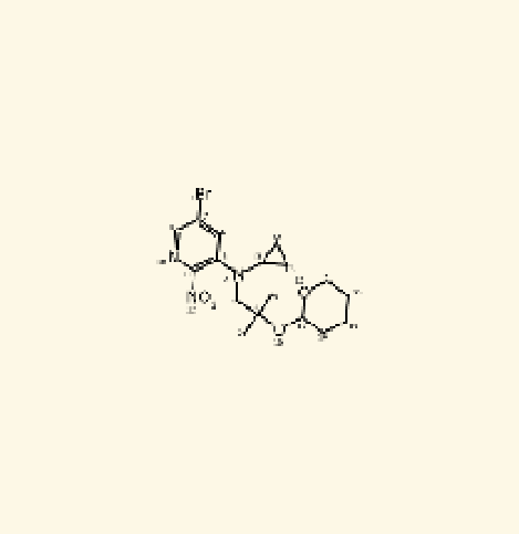 CC(C)(CN(c1cc(Br)cnc1[N+](=O)[O-])C1CC1)OC1CCCCO1